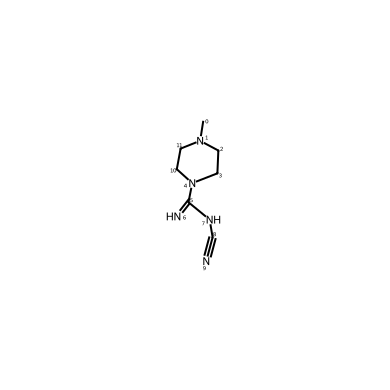 CN1CCN(C(=N)NC#N)CC1